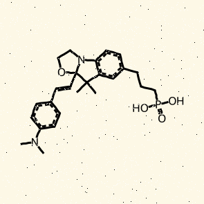 CN(C)c1ccc(/C=C/C23OCCN2c2ccc(CCCP(=O)(O)O)cc2C3(C)C)cc1